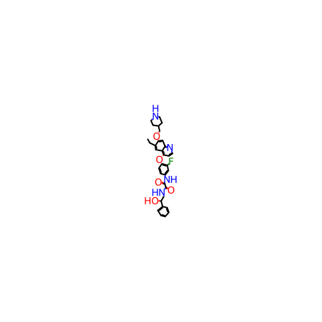 CCc1cc2c(Oc3ccc(NC(=O)C(=O)NCC(O)c4ccccc4)cc3F)ccnc2cc1OCC1CCNCC1